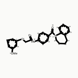 COc1cccc(OCC(=O)Nc2ccc(C(=O)N3CCCCc4ccccc43)cc2)c1